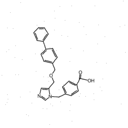 O=C(O)c1ccc(Cn2cncc2COCc2ccc(-c3ccccc3)cc2)cc1